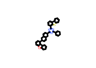 C1=CC(c2nc(-c3cccc4c3sc3ccccc34)nc(C3C=CC4=C(C=CC(c5cccc6oc7ccccc7c56)C4)C3)n2)=CCC1